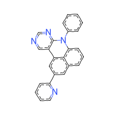 c1ccc(N2c3ncncc3-c3cc(-c4ccccn4)cc4cccc2c34)cc1